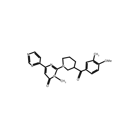 COc1ccc(C(=O)C2CCCN(c3nc(-c4ccncn4)cc(=O)n3C)C2)cc1C